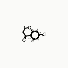 O=C1CCOc2cc(Cl)ccc21